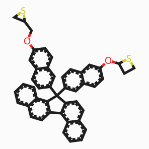 c1ccc2c3c(ccc2c1)C(c1ccc2cc(OCC4CS4)ccc2c1)(c1ccc2cc(OC4CCS4)ccc2c1)c1c-3ccc2ccccc12